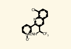 CC(=O)N[C@@H](c1cc2cccc(Cl)c2nc1-c1ccc[n+]([O-])c1)C(F)(F)F